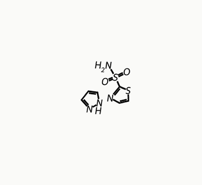 NS(=O)(=O)c1nccs1.c1cn[nH]c1